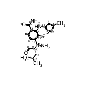 Cc1cc(Nc2c(C(N)=O)ccc(N(N)[C@@H](C=O)CC(C)C)c2F)sn1